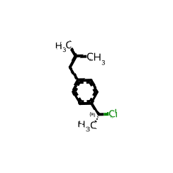 CC(C)Cc1ccc([C@@H](C)Cl)cc1